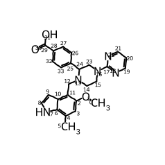 COc1cc(C)c2[nH]ccc2c1CN1CCN(c2ncccn2)CC1c1ccc(C(=O)O)cc1